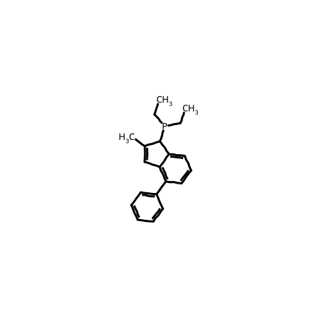 CCP(CC)C1C(C)=Cc2c(-c3ccccc3)cccc21